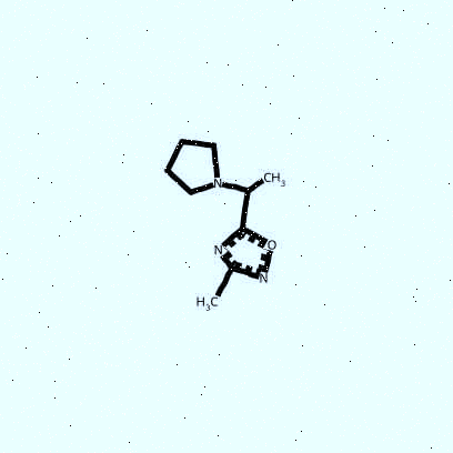 Cc1noc(C(C)N2CCCC2)n1